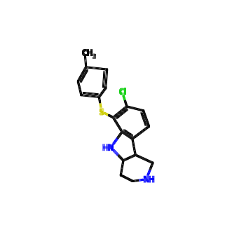 Cc1ccc(Sc2c(Cl)ccc3c2NC2CCNCC32)cc1